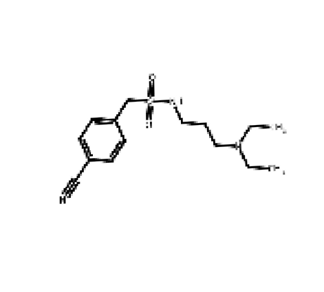 CCN(CC)CCCNS(=O)(=O)Cc1ccc(C#N)cc1